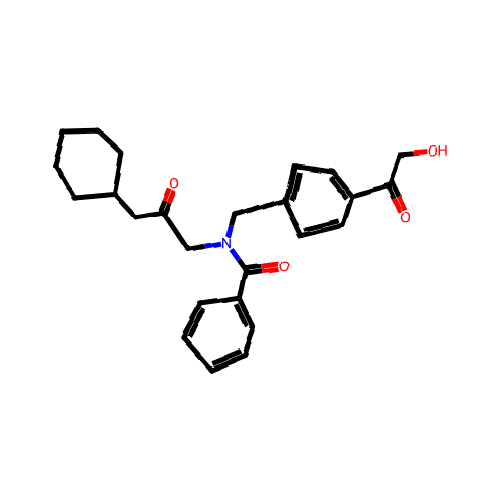 O=C(CC1CCCCC1)CN(Cc1ccc(C(=O)CO)cc1)C(=O)c1ccccc1